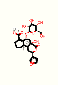 COC(=O)C1=C2[C@@H](O[C@@H]3O[C@H](CO)[C@@H](O)[C@H](O)[C@H]3O)C[C@@]3(O)C(=O)O[C@H](c4ccoc4)C[C@@]3(C)[C@@H]2CCC1